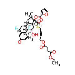 CCOC(=O)CCC(=O)OCC#CCSC(=O)[C@@]1(OC(=O)c2ccco2)[C@H](C)C[C@H]2[C@@H]3C[C@H](F)C4=CC(=O)C=C[C@]4(C)[C@@]3(F)[C@@H](O)C[C@@]21C